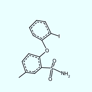 Cc1ccc(Oc2ccccc2I)c(S(N)(=O)=O)c1